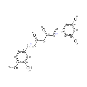 COc1ccc(/C=C/C(=O)CC(=O)/C=C/c2cc(Cl)cc(Cl)c2)cc1O